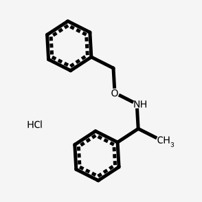 CC(NOCc1ccccc1)c1ccccc1.Cl